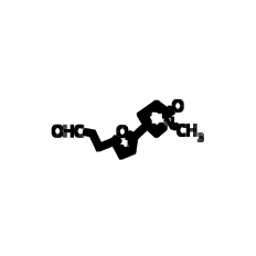 Cn1cc(-c2ccc(CCC=O)o2)ccc1=O